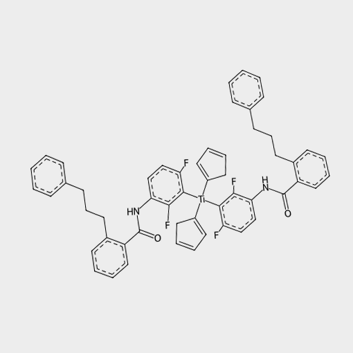 O=C(Nc1ccc(F)[c]([Ti]([C]2=CC=CC2)([C]2=CC=CC2)[c]2c(F)ccc(NC(=O)c3ccccc3CCCc3ccccc3)c2F)c1F)c1ccccc1CCCc1ccccc1